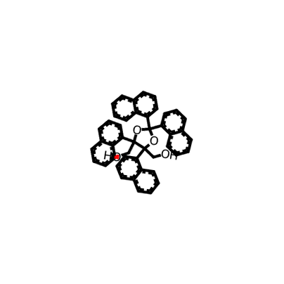 OCC1(c2cccc3ccccc23)OC(c2cccc3ccccc23)(c2cccc3ccccc23)OC1(CO)c1cccc2ccccc12